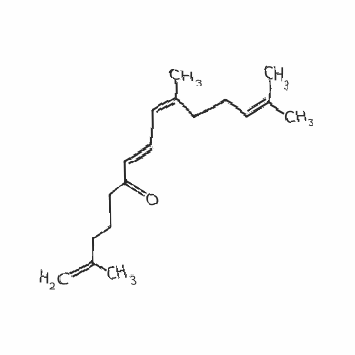 C=C(C)CCCC(=O)C=CC=C(C)CCC=C(C)C